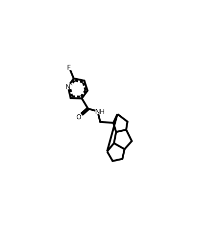 O=C(NCC1C2CC3CC4CCC2C4C31)c1ccc(F)nc1